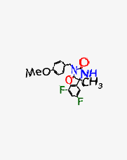 COc1ccc(CN2C(=O)NC(C)(c3cc(F)cc(F)c3)C2=O)cc1